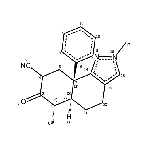 C[C@@H]1C(=O)C(C#N)C[C@]2(c3ccccc3)c3nn(C)cc3CC[C@@H]12